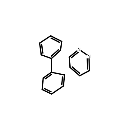 c1ccc(-c2ccccc2)cc1.c1ccnnc1